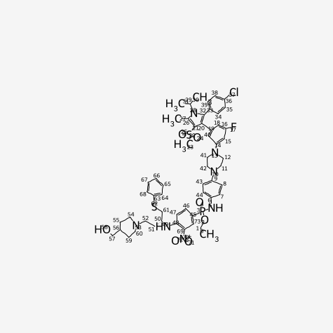 CCOP(=O)(Nc1ccc(N2CCN(c3cc(F)cc(-c4c(S(C)(=O)=O)c(C)n(C(C)C)c4-c4ccc(Cl)cc4)c3)CC2)cc1)c1ccc(N[C@H](CCN2CCC(CO)CC2)CSc2ccccc2)c([N+](=O)[O-])c1